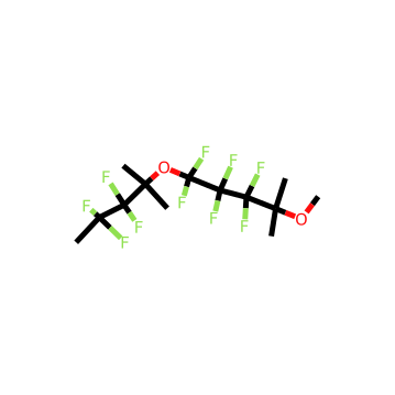 COC(C)(C)C(F)(F)C(F)(F)C(F)(F)OC(C)(C)C(F)(F)C(C)(F)F